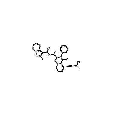 Cc1nn2cccnc2c1C(=O)NC(C)c1nc2cccc(C#C[C@@H](C)O)c2c(=O)n1-c1ccccc1